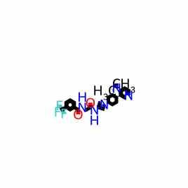 CN(C)c1ccncc1[C@H]1CC[C@@H](N2CC(NC(=O)CNC(=O)c3cccc(C(F)(F)F)c3)C2)CC1